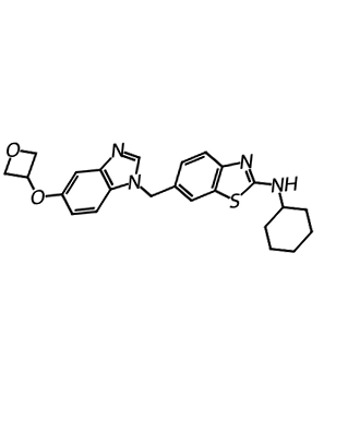 c1cc2nc(NC3CCCCC3)sc2cc1Cn1cnc2cc(OC3COC3)ccc21